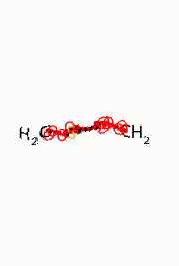 C=CC(=O)OCCCCOC(=O)Oc1ccc(C#CC#Cc2ccc(C(=O)Sc3ccc(OCCCCOC(=O)C=C)cc3)cc2)cc1